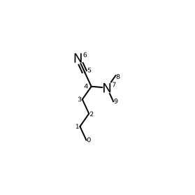 CCCCC(C#N)N(C)C